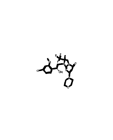 COc1cc(Cl)ccc1[C@@H](O)CN1c2nc(N3CCOCC3)cc(=O)n2CC1(C)C(F)(F)F